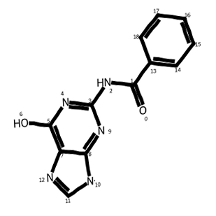 O=C(Nc1nc(O)c2c(n1)[N]C=N2)c1ccccc1